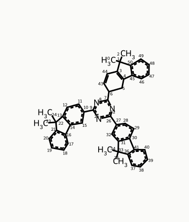 CC1(C)C2=C(CC(c3nc(-c4ccc5c(c4)-c4ccccc4C5(C)C)nc(-c4ccc5c(c4)C(C)(C)c4ccccc4-5)n3)C=C2)c2ccccc21